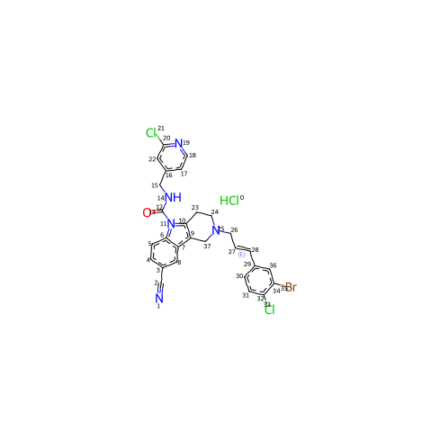 Cl.N#Cc1ccc2c(c1)c1c(n2C(=O)NCc2ccnc(Cl)c2)CCN(C/C=C/c2ccc(Cl)c(Br)c2)C1